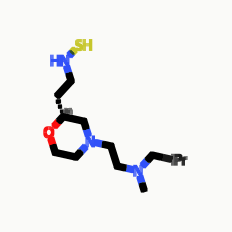 CC(C)CN(C)CCN1CCO[C@H](CCNS)C1